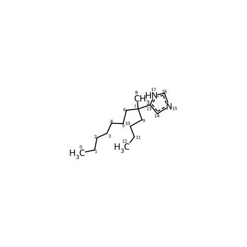 CCCCCCCC(C)(CCCC)c1cnc[nH]1